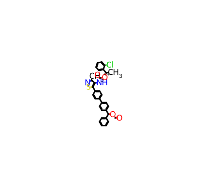 Cc1nsc(-c2ccc(-c3ccc(C(OC=O)c4ccccc4)cc3)cc2)c1NC(=O)O[C@H](C)c1ccccc1Cl